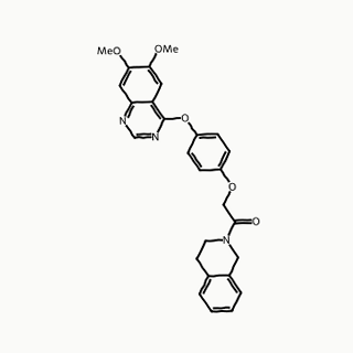 COc1cc2ncnc(Oc3ccc(OCC(=O)N4CCc5ccccc5C4)cc3)c2cc1OC